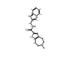 CN1CCc2cc(C(=O)NCc3cn4ccccc4n3)sc2CC1